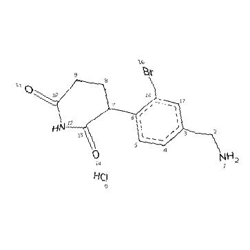 Cl.NCc1ccc(C2CCC(=O)NC2=O)c(Br)c1